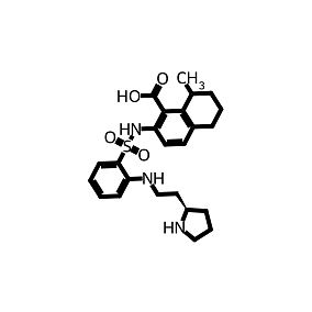 CC1CCCc2ccc(NS(=O)(=O)c3ccccc3NCC[C@H]3CCCN3)c(C(=O)O)c21